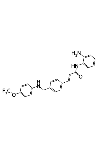 Nc1ccccc1NC(=O)C=Cc1ccc(CNc2ccc(OC(F)(F)F)cc2)cc1